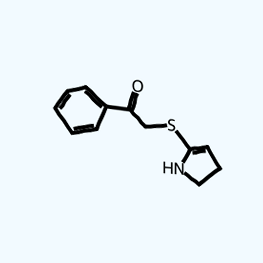 O=C(CSC1=CCCN1)c1ccccc1